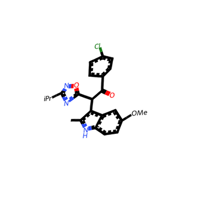 COc1ccc2[nH]c(C)c(C(C(=O)c3ccc(Cl)cc3)c3nc(C(C)C)no3)c2c1